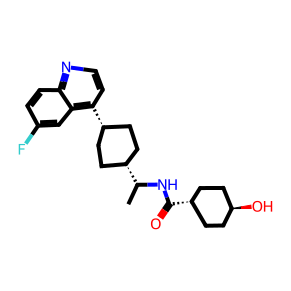 CC(NC(=O)[C@H]1CC[C@H](O)CC1)[C@H]1CC[C@@H](c2ccnc3ccc(F)cc32)CC1